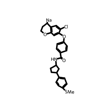 CSc1ccc(C2CCC(NC(=O)c3ccc(Oc4cc5c(cc4Cl)[CH]([Na])CCO5)cc3)C2)cc1